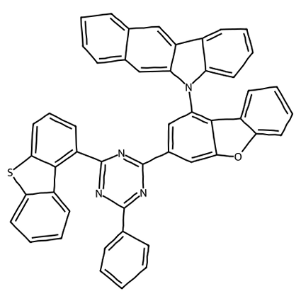 c1ccc(-c2nc(-c3cc(-n4c5ccccc5c5cc6ccccc6cc54)c4c(c3)oc3ccccc34)nc(-c3cccc4sc5ccccc5c34)n2)cc1